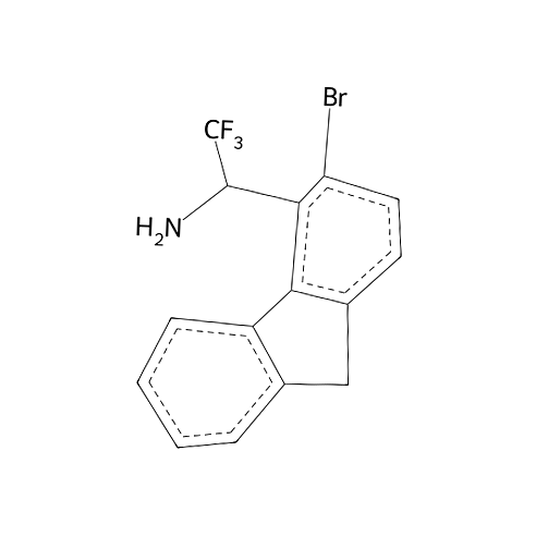 NC(c1c(Br)ccc2c1-c1ccccc1C2)C(F)(F)F